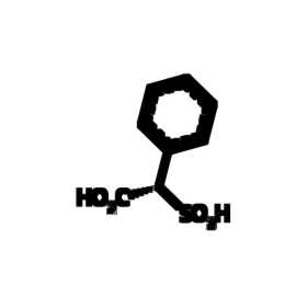 O=C(O)[C@H](c1ccccc1)S(=O)(=O)O